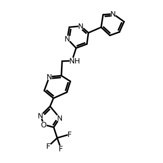 FC(F)(F)c1nc(-c2ccc(CNc3cc(-c4cccnc4)ncn3)nc2)no1